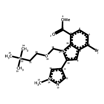 COC(=O)c1ccc(Br)c2cc(-c3cnn(C)c3)n(COCC[Si](C)(C)C)c12